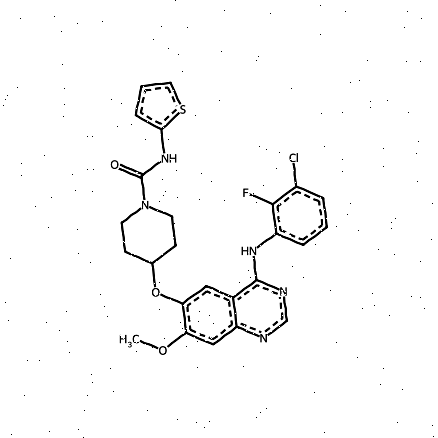 COc1cc2ncnc(Nc3cccc(Cl)c3F)c2cc1OC1CCN(C(=O)Nc2cccs2)CC1